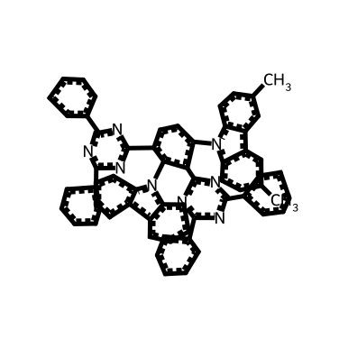 Cc1ccc2c(c1)c1cc(C)ccc1n2-c1ccc(-c2nc(-c3ccccc3)nc(-c3ccccc3)n2)c(-n2c3ccccc3c3ccccc32)c1-c1nc(-c2ccccc2)nc(-c2ccccc2)n1